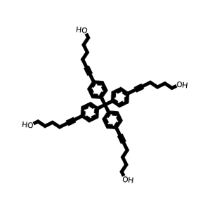 OCCCCC#Cc1ccc(C(c2ccc(C#CCCCCO)cc2)(c2ccc(C#CCCCCO)cc2)c2ccc(C#CCCCCO)cc2)cc1